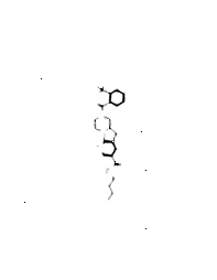 CCCCNC(=O)c1cnc2c(c1)CC1CN(C(=O)c3ccccc3C(F)(F)F)CCN21